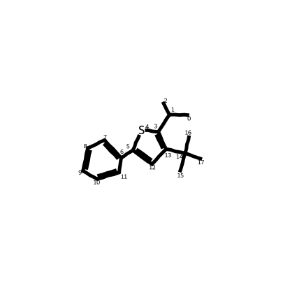 CC(C)c1sc(-c2ccccc2)cc1C(C)(C)C